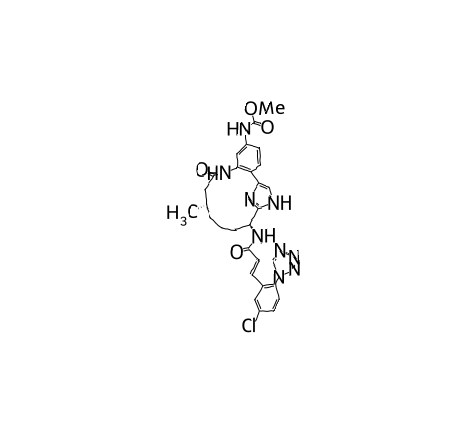 COC(=O)Nc1ccc2c(c1)NC(=O)C[C@@H](C)CCC[C@H](NC(=O)C=Cc1cc(Cl)ccc1-n1cnnn1)c1nc-2c[nH]1